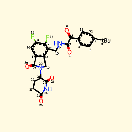 CC(C)(C)c1ccc(C(=O)C(=O)NCc2c(F)c(F)cc3c2CN(C2CCC(=O)NC2=O)C3=O)cc1